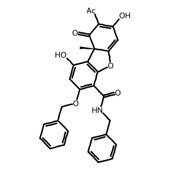 CC(=O)C1=C(O)C=C2Oc3c(C(=O)NCc4ccccc4)c(OCc4ccccc4)cc(O)c3[C@]2(C)C1=O